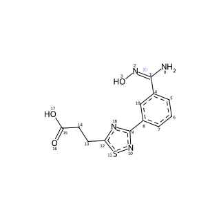 N/C(=N/O)c1cccc(-c2nsc(CCC(=O)O)n2)c1